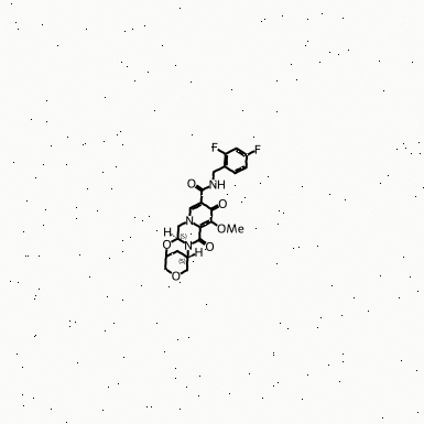 COc1c2n(cc(C(=O)NCc3ccc(F)cc3F)c1=O)C[C@@H]1OC3COC[C@H](C3)N1C2=O